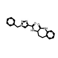 O=C(NC1CCc2ccccc2NC1=O)c1cn(Cc2ccccc2)nn1